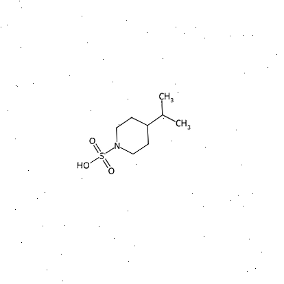 CC(C)C1CCN(S(=O)(=O)O)CC1